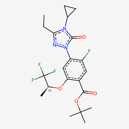 CCc1nn(-c2cc(O[C@@H](C)C(F)(F)F)c(C(=O)OC(C)(C)C)cc2F)c(=O)n1C1CC1